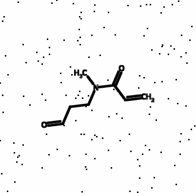 C=CC(=O)N(C)CCC=O